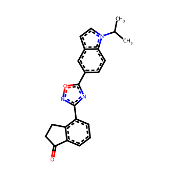 CC(C)n1ccc2cc(-c3nc(-c4cccc5c4CCC5=O)no3)ccc21